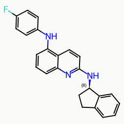 Fc1ccc(Nc2cccc3nc(N[C@@H]4CCc5ccccc54)ccc23)cc1